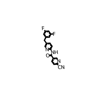 N#Cc1ccc(C(=O)Nc2ccc(Cc3cc(F)cc(F)c3)cn2)cn1